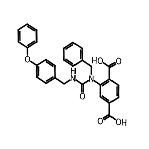 O=C(O)c1ccc(C(=O)O)c(N(Cc2ccccc2)C(=O)NCc2ccc(Oc3ccccc3)cc2)c1